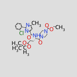 CCOC(=O)N1CCN(C(=O)[C@H](CCC(=O)OC(C)(C)C)NC(=O)c2cc(C)nc(-c3ccccc3Cl)n2)CC1